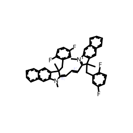 CN1/C(=C/C=C/C2=[N+](C)c3cc4ccccc4cc3C2(C)Cc2cc(F)ccc2F)C(C)(Cc2cc(F)ccc2F)c2cc3ccccc3cc21